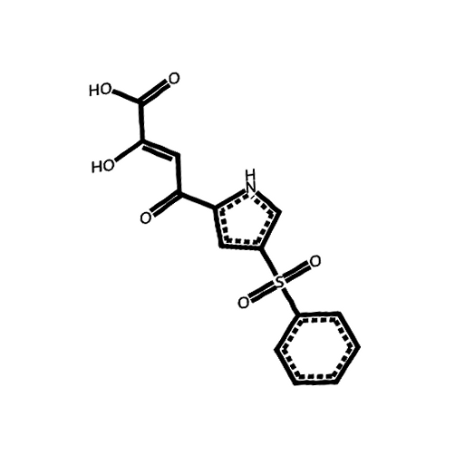 O=C(O)C(O)=CC(=O)c1cc(S(=O)(=O)c2ccccc2)c[nH]1